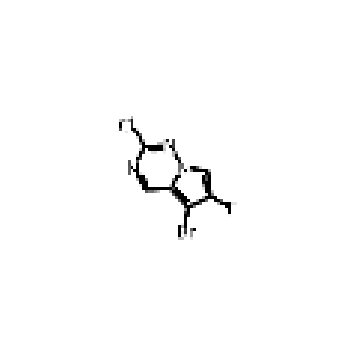 Fc1cn2nc(Cl)ncc2c1Br